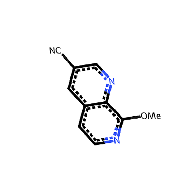 COc1nccc2cc(C#N)cnc12